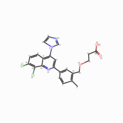 Cc1ccc(-c2cc(-n3ccnc3)c3ccc(Cl)c(Cl)c3n2)cc1COCCC(=O)O